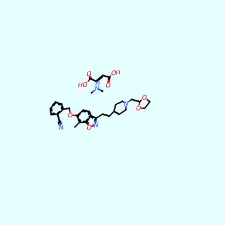 CNC.Cc1c(OCc2ccccc2C#N)ccc2c(CCC3CCN(CC4OCCO4)CC3)noc12.O=C(O)C=CC(=O)O